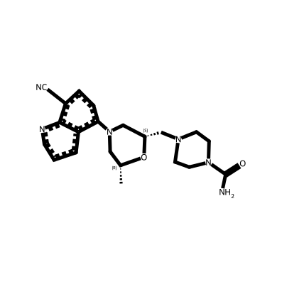 C[C@@H]1CN(c2ccc(C#N)c3ncccc23)C[C@H](CN2CCN(C(N)=O)CC2)O1